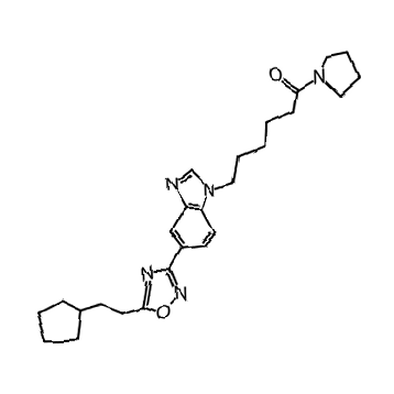 O=C(CCCCCn1cnc2cc(-c3noc(CCC4CCCC4)n3)ccc21)N1CCCC1